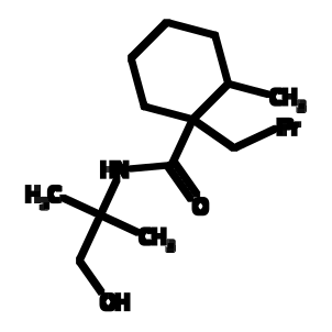 CC(C)CC1(C(=O)NC(C)(C)CO)CCCCC1C